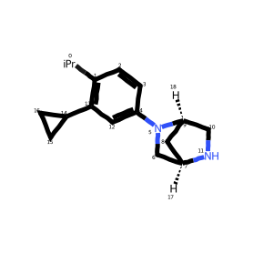 CC(C)c1ccc(N2C[C@H]3C[C@@H]2CN3)cc1C1CC1